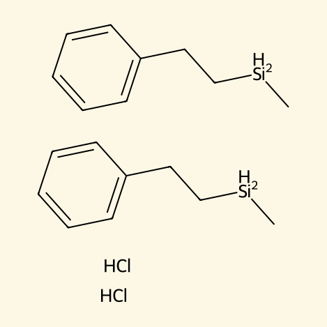 C[SiH2]CCc1ccccc1.C[SiH2]CCc1ccccc1.Cl.Cl